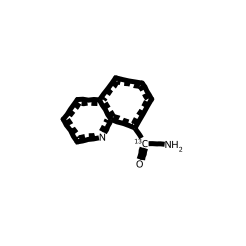 N[13C](=O)c1cccc2cccnc12